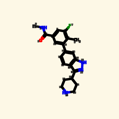 CCNC(=O)c1cc(F)c(C)c(-c2ccc3c(C4CCNCC4)n[nH]c3c2)c1